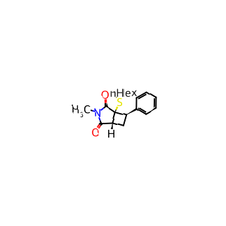 CCCCCCS[C@]12C(=O)N(C)C(=O)[C@H]1C[C@@H]2c1ccccc1